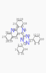 c1ccc(-c2nc(-c3ccccc3)nc(-c3nc4ccccc4c4nc5ccccc5cc34)n2)cc1